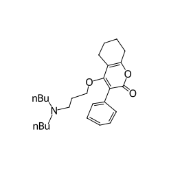 CCCCN(CCCC)CCCOc1c2c(oc(=O)c1-c1ccccc1)CCCC2